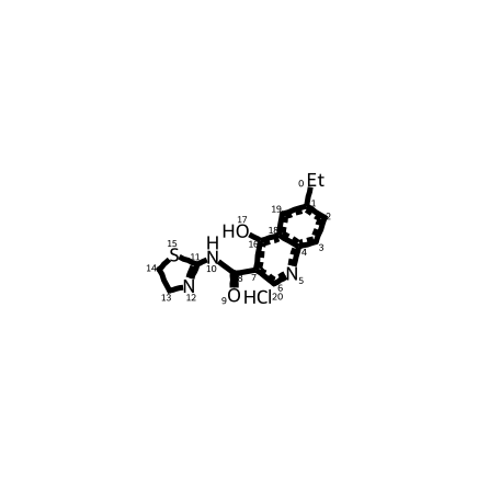 CCc1ccc2ncc(C(=O)NC3=NCCS3)c(O)c2c1.Cl